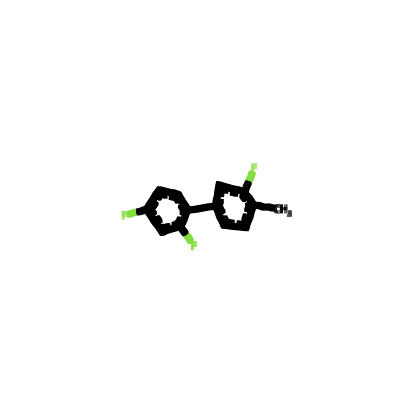 Cc1ccc(-c2ccc(F)cc2F)cc1F